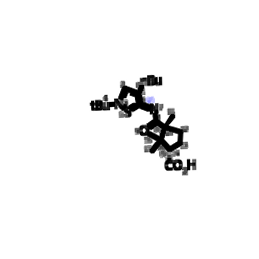 CCCCc1cn(C(C)(C)C)s/c1=N\C(=O)[C@]1(C)CC[C@H](C(=O)O)C1(C)C